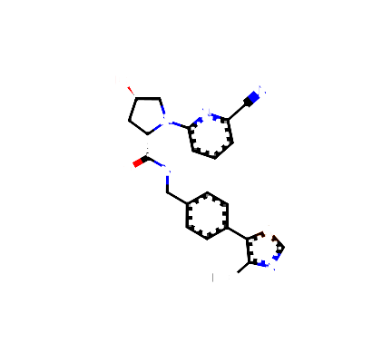 Cc1ncsc1-c1ccc(CNC(=O)[C@@H]2C[C@@H](O)CN2c2cccc(C#N)n2)cc1